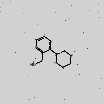 OCc1ccccc1C1CCCCC1